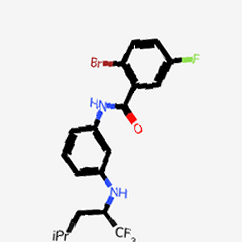 CC(C)CC(Nc1cccc(NC(=O)c2cc(F)ccc2Br)c1)C(F)(F)F